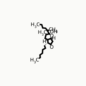 CCCCCCC[C@H]1C(=O)C[C@H]2O[C@@](O)(C(C)(C)CCCC)CC[C@@H]21